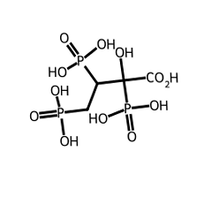 O=C(O)C(O)(C(CP(=O)(O)O)P(=O)(O)O)P(=O)(O)O